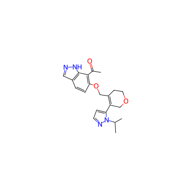 CC(=O)c1c(OCC2=C(c3ccnn3C(C)C)COCC2)ccc2cn[nH]c12